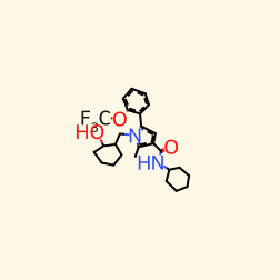 Cc1c(C(=O)NC2CCCCC2)cc(-c2ccccc2OC(F)(F)F)n1CC1CCCCC1O